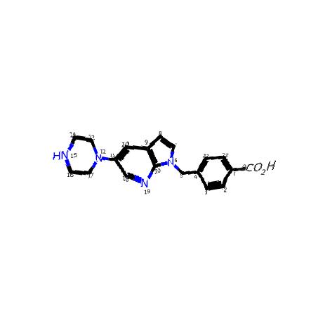 O=C(O)c1ccc(Cn2ccc3cc(N4CCNCC4)cnc32)cc1